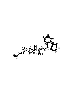 C=CCOC(=O)N1CC(NC(=O)OCC2c3ccccc3-c3ccccc32)(C(=O)O)C1